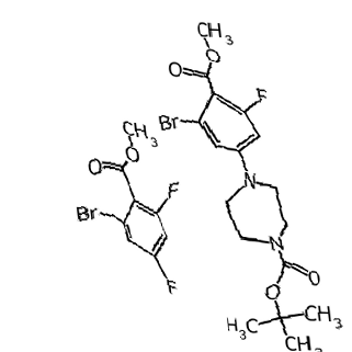 COC(=O)c1c(F)cc(F)cc1Br.COC(=O)c1c(F)cc(N2CCN(C(=O)OC(C)(C)C)CC2)cc1Br